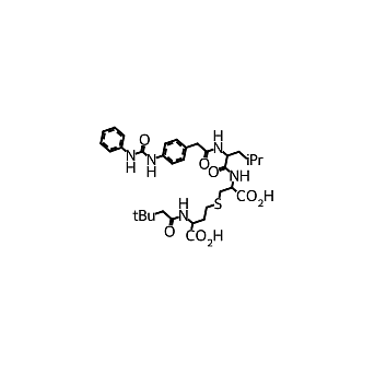 CC(C)CC(NC(=O)Cc1ccc(NC(=O)Nc2ccccc2)cc1)C(=O)NC(CSCCC(NC(=O)CC(C)(C)C)C(=O)O)C(=O)O